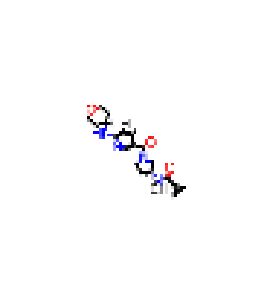 CN(C(=O)C1CC1)[C@H]1CCN(C(=O)c2ccc(NC3(C)CCOCC3)nc2)C1